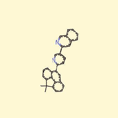 CC1(C)c2cccc3cc(-c4ccc(-c5cc6ccccc6cn5)cn4)c4cccc1c4c23